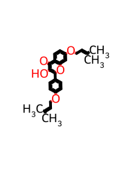 CC(C)=CCOc1ccc(-c2oc3cc(OCC=C(C)C)ccc3c(=O)c2O)cc1